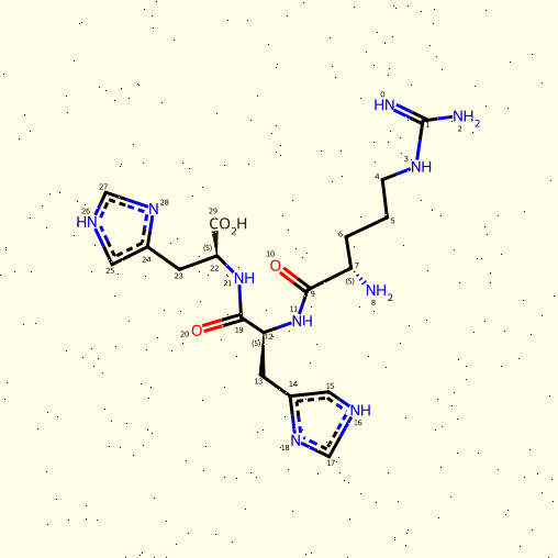 N=C(N)NCCC[C@H](N)C(=O)N[C@@H](Cc1c[nH]cn1)C(=O)N[C@@H](Cc1c[nH]cn1)C(=O)O